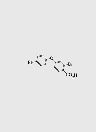 CCc1ccc(Oc2ccc(C(=O)O)c(Br)c2)cc1